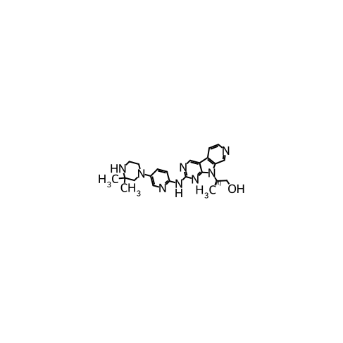 C[C@H](CO)n1c2cnccc2c2cnc(Nc3ccc(N4CCNC(C)(C)C4)cn3)nc21